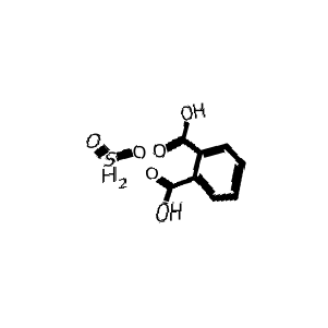 O=C(O)c1ccccc1C(=O)O.O=[SH2]=O